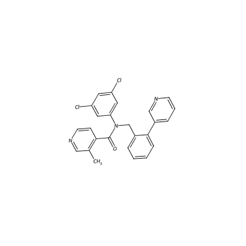 Cc1cnccc1C(=O)N(Cc1ccccc1-c1cccnc1)c1cc(Cl)cc(Cl)c1